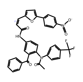 CC(=O)N(c1ccc(C(F)(F)F)cc1)c1ccc(NC(=O)/C=C\c2ccc(-c3ccc([N+](=O)[O-])cc3)o2)cc1C(=O)c1ccccc1